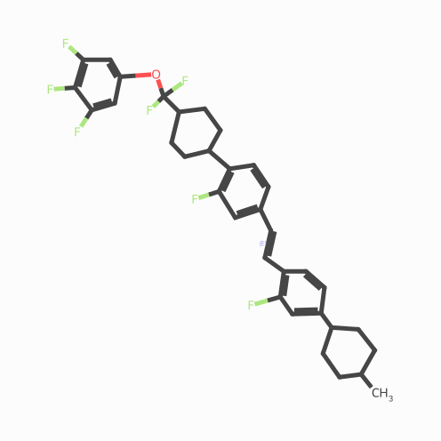 CC1CCC(c2ccc(/C=C/c3ccc(C4CCC(C(F)(F)Oc5cc(F)c(F)c(F)c5)CC4)c(F)c3)c(F)c2)CC1